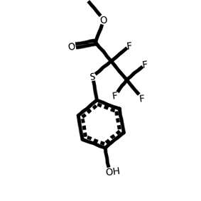 COC(=O)C(F)(Sc1ccc(O)cc1)C(F)(F)F